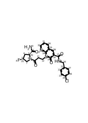 NC(=O)[C@@H]1C[C@H](F)CN1C(=O)CCn1c(=O)c(C(=O)NCc2ccc(Cl)cc2)cc2cccnc21